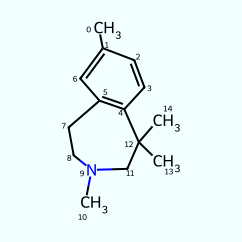 Cc1ccc2c(c1)CCN(C)CC2(C)C